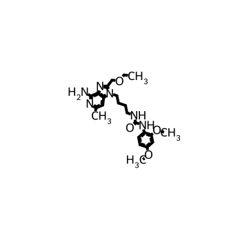 CCOCc1nc2c(N)nc(C)cc2n1CCCCNC(=O)Nc1ccc(OC)cc1OC